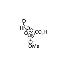 COc1ccc(CCN(CCC(=O)O)C(=O)c2ccccc2-c2ccccc2C(=O)NCCc2ccccc2)cc1